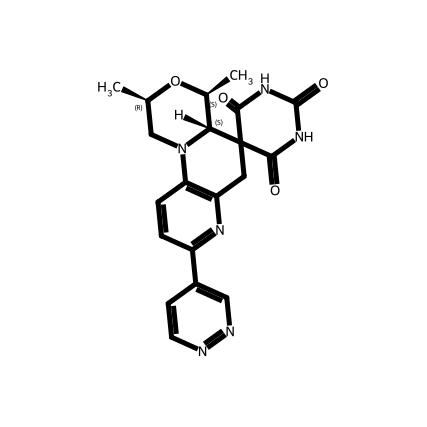 C[C@@H]1CN2c3ccc(-c4ccnnc4)nc3CC3(C(=O)NC(=O)NC3=O)[C@H]2[C@H](C)O1